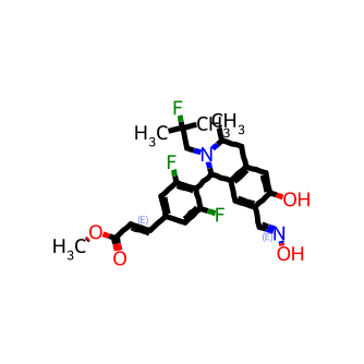 COC(=O)/C=C/c1cc(F)c(C2c3cc(/C=N/O)c(O)cc3CC(C)N2CC(C)(C)F)c(F)c1